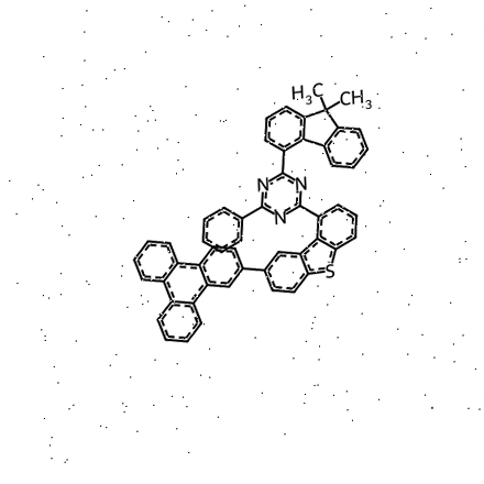 CC1(C)c2ccccc2-c2c(-c3nc(-c4ccccc4)nc(-c4cccc5sc6ccc(-c7ccc8c9ccccc9c9ccccc9c8c7)cc6c45)n3)cccc21